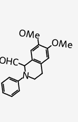 COc1cc2c(cc1OC)C(C=O)N(c1ccccc1)CC2